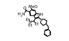 CCC(c1c(N2CCC(Cc3ccccc3)CC2)[nH]c2cc(OC)c(C(N)=O)cc12)N(CC)CC